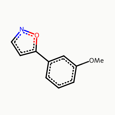 COc1cccc(-c2ccno2)c1